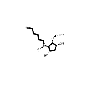 CCCCCCCO[C@H]1[C@H](N(C)CCCCCC(C)(C)C)[C@@H](O)C[C@H]1O